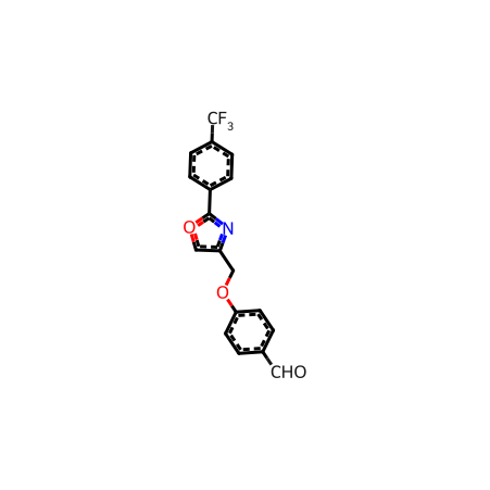 O=Cc1ccc(OCc2coc(-c3ccc(C(F)(F)F)cc3)n2)cc1